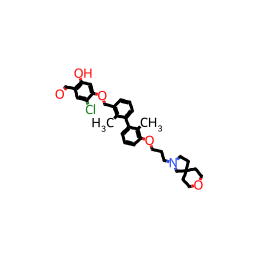 Cc1c(COc2cc(O)c(C=O)cc2Cl)cccc1-c1cccc(OCCCN2CCC3(CCOCC3)C2)c1C